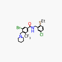 CCSc1ccc(Cl)cc1CNC(=O)c1cc(Br)c(CN2CCCCC2)c(C(F)(F)F)c1